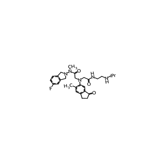 Cc1cc2c(cc1N(CC(=O)NCCNC(C)C)CC(=O)N(C)N1Cc3ccc(F)cc3C1)C(=O)CC2